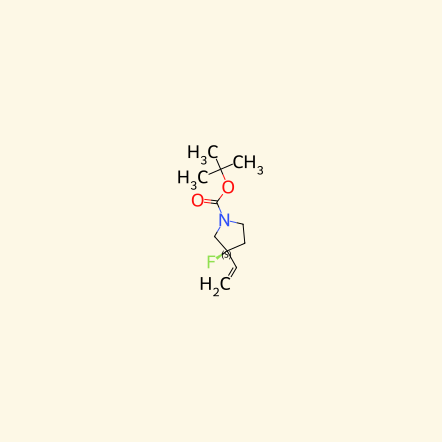 C=C[C@@]1(F)CCN(C(=O)OC(C)(C)C)C1